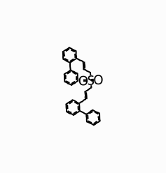 O=S(=O)(C/C=C/c1ccccc1-c1ccccc1)C/C=C/c1ccccc1-c1ccccc1